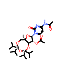 CC(=O)Nc1ccn([C@@H]2O[C@@H]3CO[Si](C(C)C)(C(C)C)O[Si](C(C)C)(C(C)C)OC3[C@H]2OC(C)=O)c(=O)n1